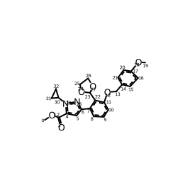 COC(=O)c1cc(-c2cccc(OCc3ccc(OC)cc3)c2C2OCCO2)nn1C1CC1